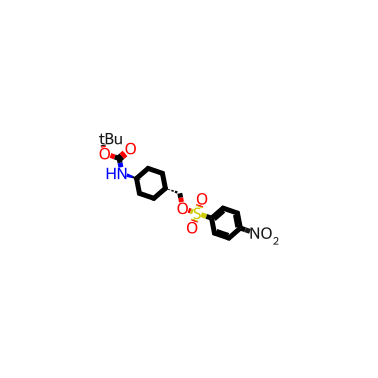 CC(C)(C)OC(=O)N[C@H]1CC[C@H](COS(=O)(=O)c2ccc([N+](=O)[O-])cc2)CC1